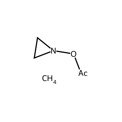 C.CC(=O)ON1CC1